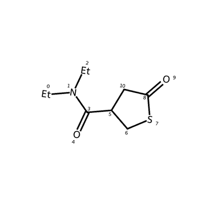 CCN(CC)C(=O)C1CSC(=O)C1